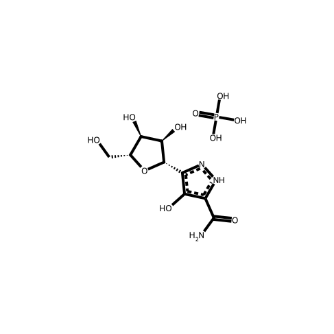 NC(=O)c1[nH]nc([C@@H]2O[C@H](CO)[C@@H](O)[C@H]2O)c1O.O=P(O)(O)O